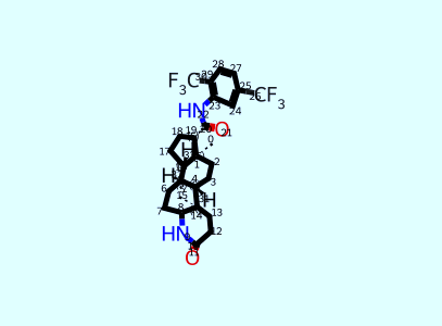 C[C@]12CC[C@H]3[C@@H](CCC4NC(=O)CC[C@@]43C)[C@@H]1CC[C@@H]2C(=O)Nc1cc(C(F)(F)F)ccc1C(F)(F)F